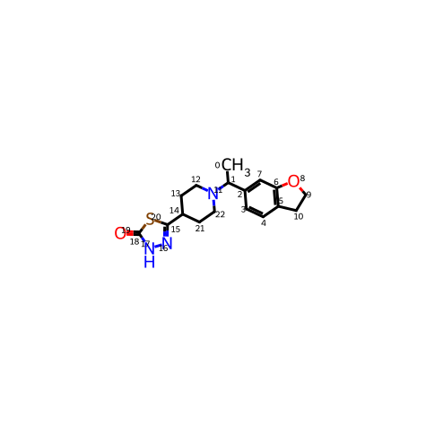 CC(c1ccc2c(c1)OCC2)N1CCC(c2n[nH]c(=O)s2)CC1